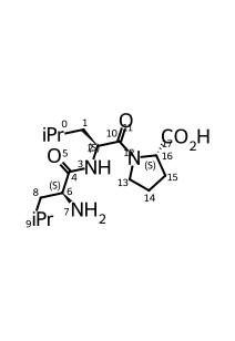 CC(C)C[C@H](NC(=O)[C@@H](N)CC(C)C)C(=O)N1CCC[C@H]1C(=O)O